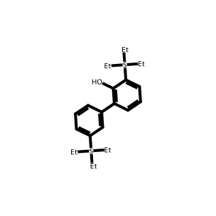 CCS(CC)(CC)c1cccc(-c2cccc(S(CC)(CC)CC)c2O)c1